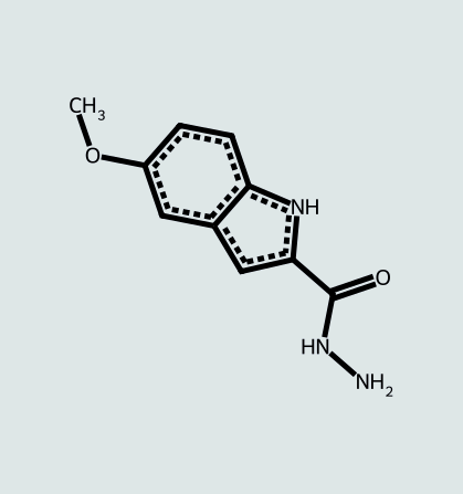 COc1ccc2[nH]c(C(=O)NN)cc2c1